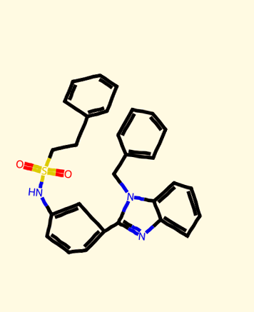 O=S(=O)(CCc1ccccc1)Nc1cccc(-c2nc3ccccc3n2Cc2ccccc2)c1